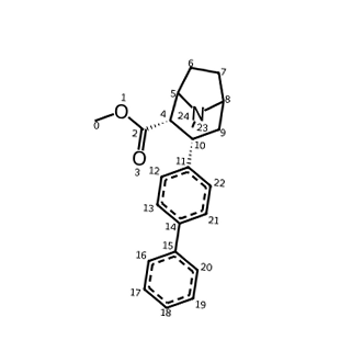 COC(=O)[C@@H]1C2CCC(C[C@@H]1c1ccc(-c3ccccc3)cc1)N2C